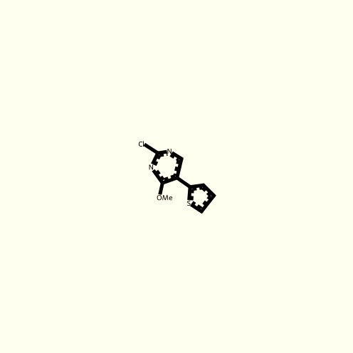 COc1nc(Cl)ncc1-c1cccs1